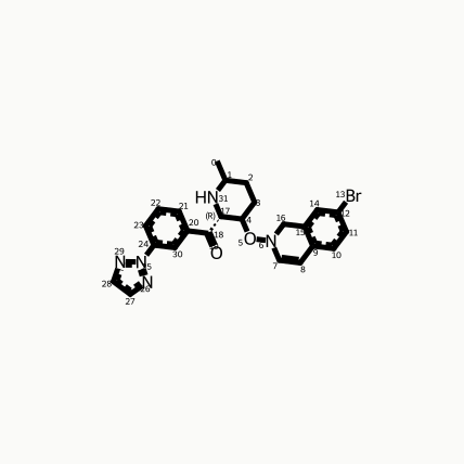 CC1CCC(ON2C=Cc3ccc(Br)cc3C2)[C@H](C(=O)c2cccc(-n3nccn3)c2)N1